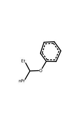 CCCC(CC)Oc1ccccc1